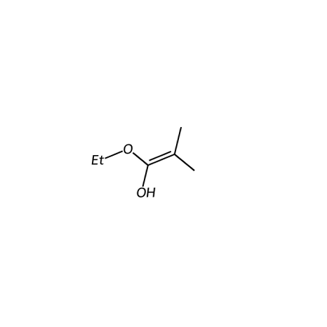 CCOC(O)=C(C)C